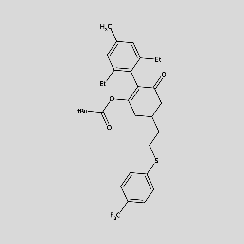 CCc1cc(C)cc(CC)c1C1=C(OC(=O)C(C)(C)C)CC(CCSc2ccc(C(F)(F)F)cc2)CC1=O